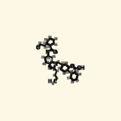 CCCCc1nc2c(n1Cc1ccc(-c3ccccc3C(=O)O)cc1)CC(=NC(=O)c1ccccc1CC=O)C=C2